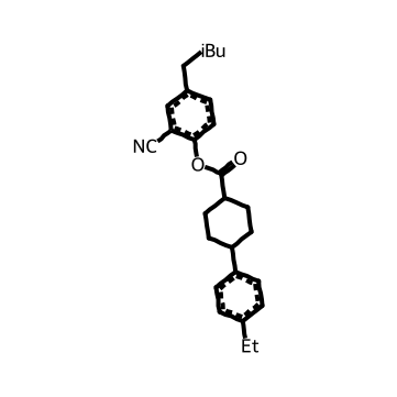 CCc1ccc(C2CCC(C(=O)Oc3ccc(CC(C)CC)cc3C#N)CC2)cc1